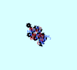 CCN(CC(=O)N(C)[C@H](C(=O)NC[C@@H](NC(=O)OC(C)(C)C)C(=O)N1CCCC[C@H]1C(=O)NCC(=O)N(CC)CC(=O)N(C)[C@H](C(=O)NC[C@@H](NC(=O)OCc1ccccc1)C(=O)N1CCCC[C@H]1C(=O)O)C(C)C)C(C)C)C(=O)CN